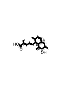 C/C(=C\C=C\C1C(C)C=C[C@H]2CC(C)[C@H](O)C(C)C12)C(=O)O